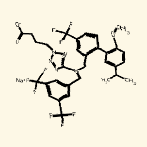 COc1ccc(C(C)C)cc1-c1ccc(C(F)(F)F)cc1CN(Cc1cc(C(F)(F)F)cc(C(F)(F)F)c1)c1nnn(CCCC(=O)[O-])n1.[Na+]